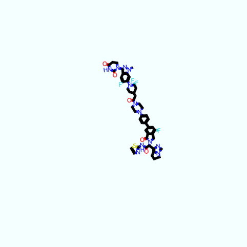 Cn1nc(N2CCC(=O)NC2=O)c2cc(F)c(N3CCC(CC(=O)N4CCN(c5ccc(-c6cc(F)c7c(c6)C(=O)N(C(C(=O)Nc6nccs6)c6ncn8c6CCC8)C7)cc5)CC4)CC3(F)F)cc21